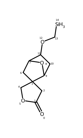 O=C1CC2(CO1)CC1OC2CC1OC[SiH3]